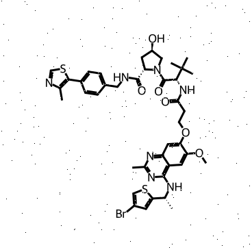 COc1cc2c(N[C@H](C)c3cc(Br)cs3)nc(C)nc2cc1OCCC(=O)N[C@H](C(=O)N1C[C@H](O)C[C@H]1C(=O)NCc1ccc(-c2scnc2C)cc1)C(C)(C)C